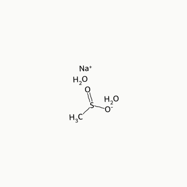 CS(=O)[O-].O.O.[Na+]